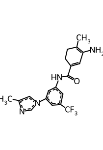 CC1=C(N)C=C(C(=O)Nc2cc(-n3cnc(C)c3)cc(C(F)(F)F)c2)CC1